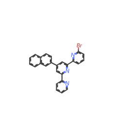 Brc1cccc(-c2cc(-c3ccc4ccccc4c3)cc(-c3ccccn3)n2)n1